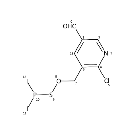 O=Cc1cnc(Cl)c(COSP(I)I)c1